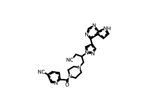 N#CCC(CN1CCN(C(=O)c2ccc(C#N)cn2)CC1)n1cc(-c2ncnc3[nH]ccc23)cn1